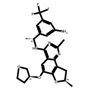 Cc1nc(N[C@H](C)c2cc(N)cc(C(F)(F)F)c2)c2cc(O[C@H]3CCOC3)c3c(c2n1)C[C@@H](C)O3